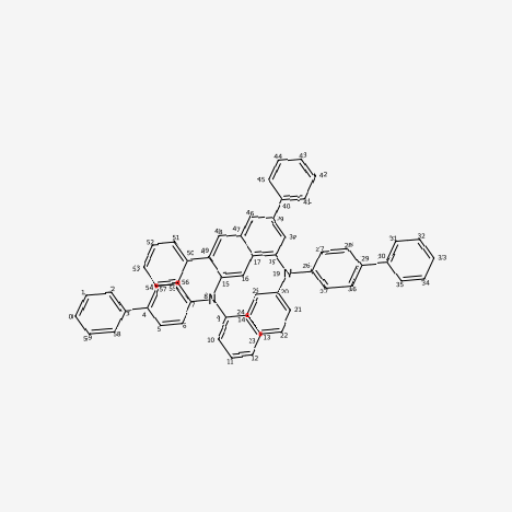 c1ccc(-c2ccc(N(c3ccccc3)c3cc4c(N(c5ccccc5)c5ccc(-c6ccccc6)cc5)cc(-c5ccccc5)cc4cc3-c3ccccc3)cc2)cc1